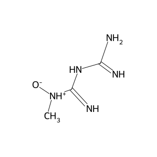 C[NH+]([O-])C(=N)NC(=N)N